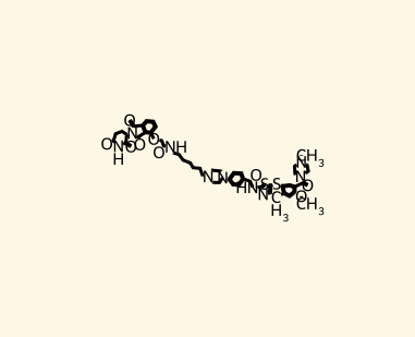 COc1cc(C)c(Sc2cnc(NC(=O)c3ccc(N4CCN(CCCCCCCNC(=O)COc5cccc6c5C(=O)N(C5CCC(=O)NC5=O)C6=O)CC4)cc3)s2)cc1C(=O)N1CCN(C)CC1